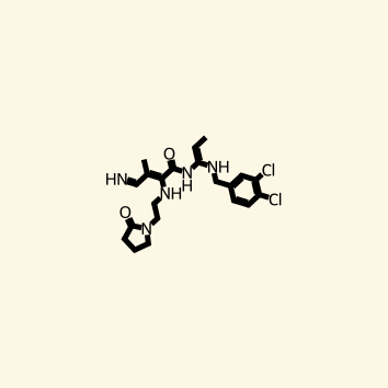 C/C=C(\NCc1ccc(Cl)c(Cl)c1)NC(=O)/C(NCCN1CCCC1=O)=C(\C)C=N